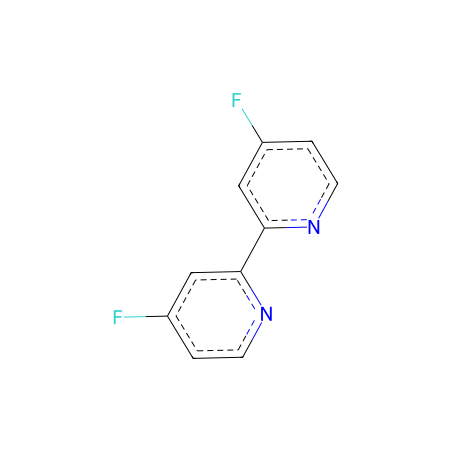 Fc1ccnc(-c2cc(F)ccn2)c1